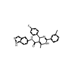 CC1=C(C(=O)Nc2ccc3[nH]ncc3c2)C(c2ccc(F)cc2)N=C(c2cccc(C)c2)N1